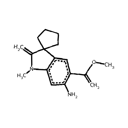 C=C(OC)c1cc2c(cc1N)N(C)C(=C)C21CCCC1